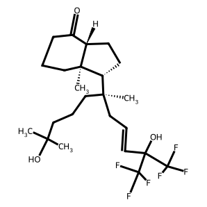 CC(C)(O)CCC[C@](C)(C/C=C/C(O)(C(F)(F)F)C(F)(F)F)[C@H]1CC[C@H]2C(=O)CCC[C@]12C